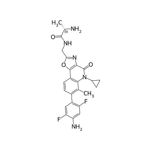 Cc1c(-c2cc(F)c(N)cc2F)ccc2c3oc(CNC(=O)[C@H](C)N)nc3c(=O)n(C3CC3)c12